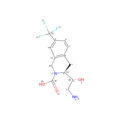 NC[C@@H](O)[C@@H]1Cc2ccc(C(F)(F)F)cc2CN1C(=O)O